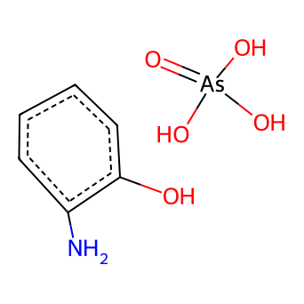 Nc1ccccc1O.O=[As](O)(O)O